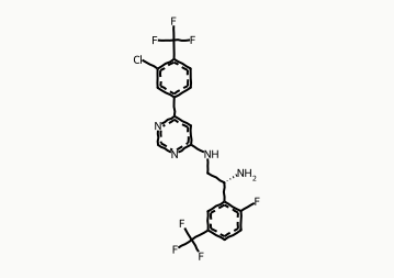 N[C@@H](CNc1cc(-c2ccc(C(F)(F)F)c(Cl)c2)ncn1)c1cc(C(F)(F)F)ccc1F